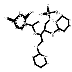 CC(OC(COC1CCCCO1)C(COS(=O)(=O)C(F)(F)F)OC1CCCCO1)n1ccc(=O)[nH]c1=O